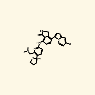 CN(C)Cc1nc(Nc2ccc(-c3cnc4cc(F)ccn34)c3c2C(=O)NC3)ccc1[C@]1(C)CCCO1